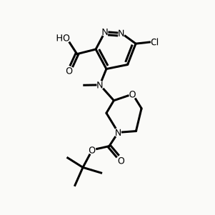 CN(c1cc(Cl)nnc1C(=O)O)C1CN(C(=O)OC(C)(C)C)CCO1